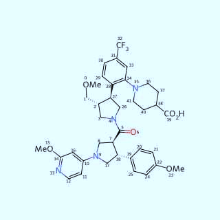 COC[C@H]1CN(C(=O)[C@@H]2CN(c3ccnc(OC)c3)C[C@H]2c2ccc(OC)cc2)C[C@@H]1c1ccc(C(F)(F)F)cc1N1CCC(C(=O)O)CC1